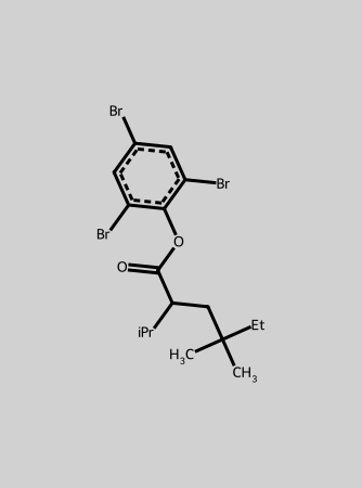 CCC(C)(C)CC(C(=O)Oc1c(Br)cc(Br)cc1Br)C(C)C